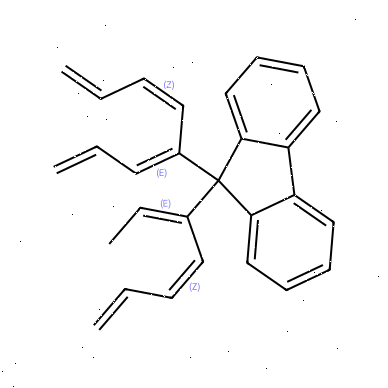 C=C/C=C\C(=C/C)C1(C(/C=C\C=C)=C/C=C)c2ccccc2-c2ccccc21